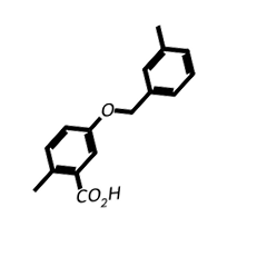 Cc1cccc(COc2ccc(C)c(C(=O)O)c2)c1